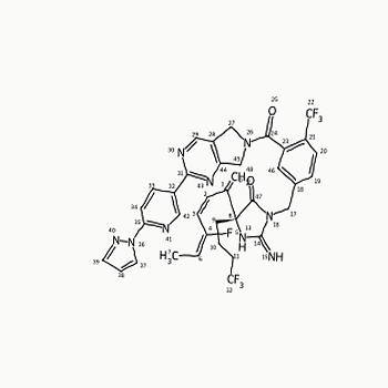 C=C(/C=C\C(F)=C/C)[C@@]1(CCCC(F)(F)F)NC(=N)N(Cc2ccc(C(F)(F)F)c(C(=O)N3Cc4cnc(-c5ccc(-n6cccn6)nc5)nc4C3)c2)C1=O